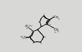 CC1=C(C)[C](C2CCC(C)=C2C)CCC1